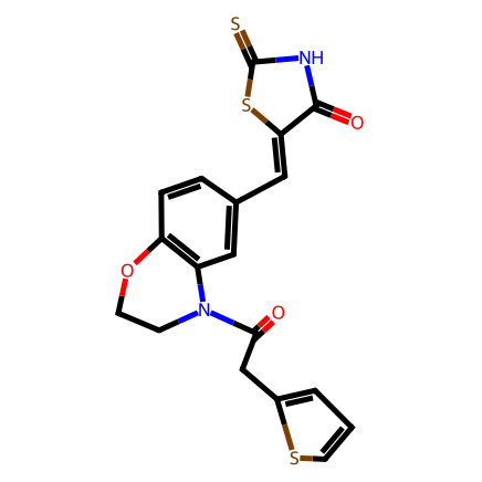 O=C1NC(=S)S/C1=C\c1ccc2c(c1)N(C(=O)Cc1cccs1)CCO2